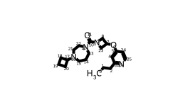 CCCc1cc(OC2CN(C(=O)N3CCCN(C4CCC4)CC3)C2)ccn1